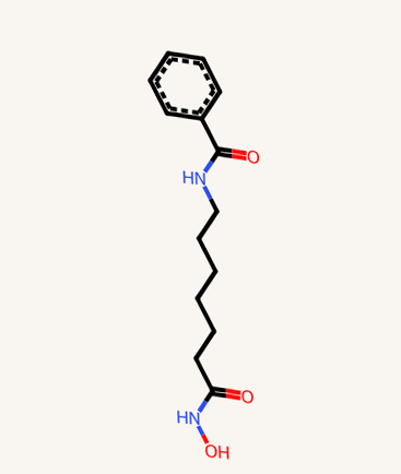 O=C(CCCCCCNC(=O)c1ccccc1)NO